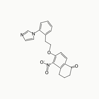 O=C1CCCc2c1ccc(OCCc1ccccc1-n1ccnc1)c2[N+](=O)[O-]